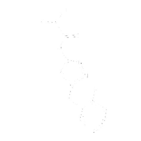 CN(C)C(=O)Oc1cn(Cc2ccccc2Cl)nn1